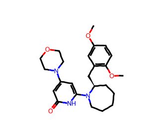 COc1ccc(OC)c(C[C@H]2CCCCCN2c2cc(N3CCOCC3)cc(=O)[nH]2)c1